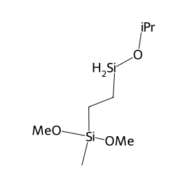 CO[Si](C)(CC[SiH2]OC(C)C)OC